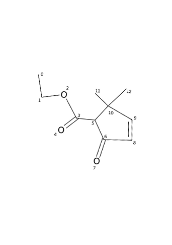 CCOC(=O)C1C(=O)C=CC1(C)C